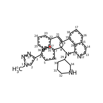 Cn1cc(-c2ccc(C(=O)N(c3nccc4cccc(/C=C/c5cccnc5)c34)[C@@H]3CCCNC3)cc2)nn1